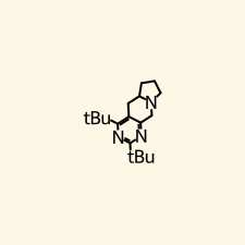 CC(C)(C)c1nc2c(c(C(C)(C)C)n1)CC1CCCN1C2